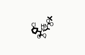 COC(=O)C(NCC(C)NC(=O)OC(C)(C)C)c1cccc(Cl)c1